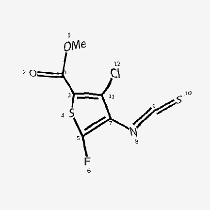 COC(=O)c1sc(F)c(N=C=S)c1Cl